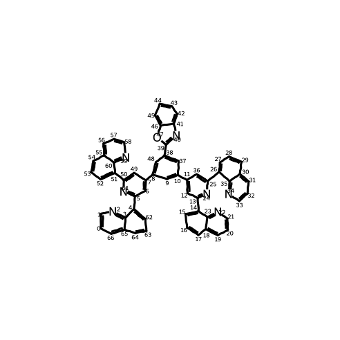 c1cnc2c(-c3cc(-c4cc(-c5cc(-c6cccc7cccnc67)nc(-c6cccc7cccnc67)c5)cc(-c5nc6ccccc6o5)c4)cc(-c4cccc5cccnc45)n3)cccc2c1